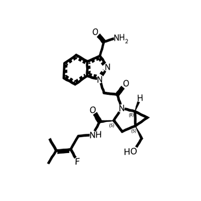 CC(C)=C(F)CNC(=O)[C@@H]1C[C@@]2(CO)C[C@H]2N1C(=O)Cn1nc(C(N)=O)c2ccccc21